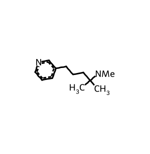 CNC(C)(C)CCCc1cccnc1